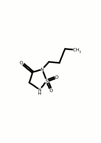 CCCCN1C(=O)CNS1(=O)=O